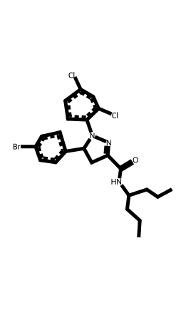 CCCC(CCC)NC(=O)C1=NN(c2ccc(Cl)cc2Cl)C(c2ccc(Br)cc2)C1